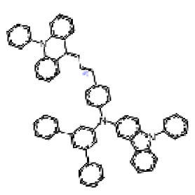 C(/C=C/c1ccc(N(c2cc(-c3ccccc3)cc(-c3ccccc3)c2)c2ccc3c(c2)c2ccccc2n3-c2ccccc2)cc1)=C1c2ccccc2N(c2ccccc2)c2ccccc21